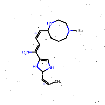 C/C=C\C1NC=C(/C(N)=C/C=C\C2CCCN(CCCC)CCN2)N1